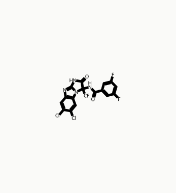 O=C(NC1(C(F)(F)F)C(=O)Nc2nc3cc(Cl)c(Cl)cc3n21)c1cc(F)cc(F)c1